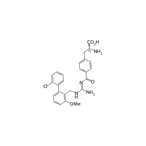 COc1cccc(-c2ccccc2Cl)c1CNC(N)=NC(=O)c1ccc(C[C@H](N)C(=O)O)cc1